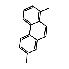 Cc1ccc2c(ccc3c(C)cccc32)c1